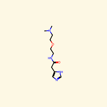 CN(C)CCOCCNC(=O)Cc1cnc[nH]1